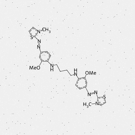 COc1cc(/N=N/c2scc[n+]2C)ccc1NCCCCNc1ccc(/N=N/c2scc[n+]2C)cc1OC